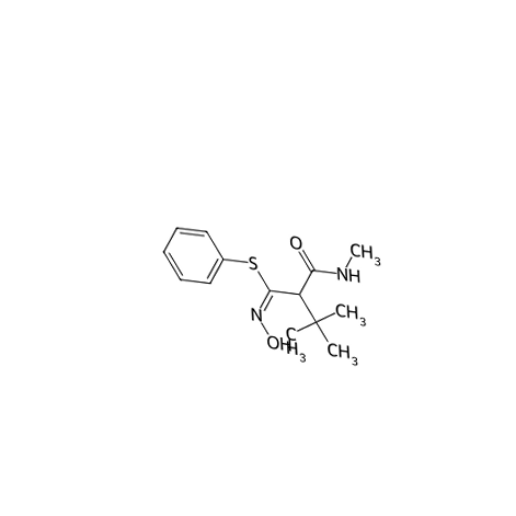 CNC(=O)C(C(=NO)Sc1ccccc1)C(C)(C)C